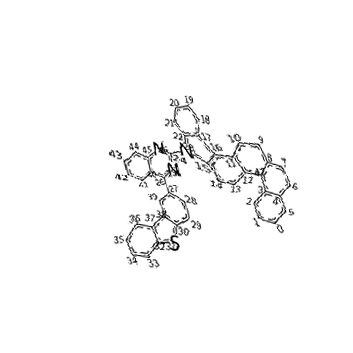 c1ccc2c(c1)ccc1ccc3c(ccc4c3c3ccccc3n4-c3nc(-c4ccc5sc6ccccc6c5c4)c4ccccc4n3)c12